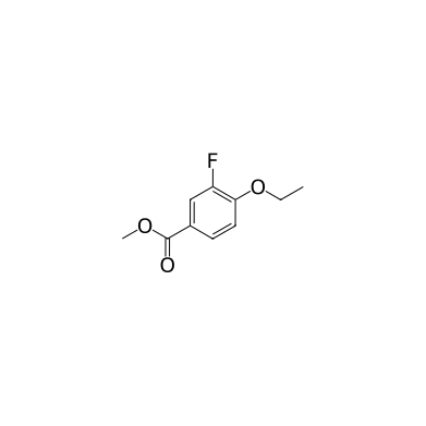 CCOc1ccc(C(=O)OC)cc1F